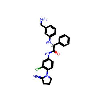 N=C1CCCN1c1ccc(NC(=O)[C@H](Nc2cccc(CN)c2)c2ccccc2)cc1Cl